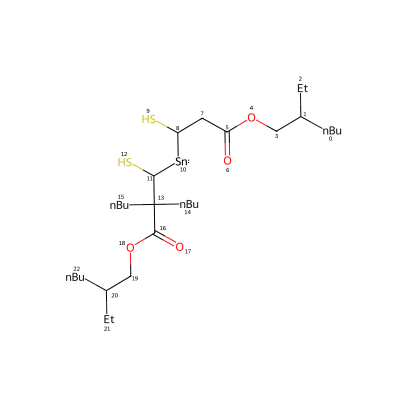 CCCCC(CC)COC(=O)C[CH](S)[Sn][CH](S)C(CCCC)(CCCC)C(=O)OCC(CC)CCCC